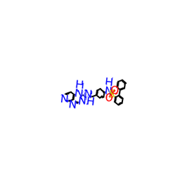 N#CN/C(=N\Cc1ccc(NS(=O)(=O)c2ccccc2-c2ccccc2)cc1)Nc1ccncc1